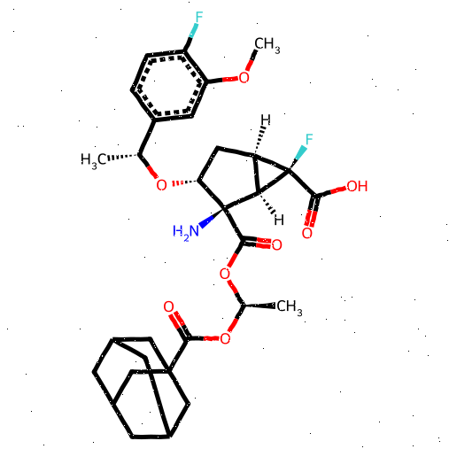 COc1cc([C@@H](C)O[C@@H]2C[C@@H]3[C@H]([C@]2(N)C(=O)O[C@@H](C)OC(=O)C24CC5CC(CC(C5)C2)C4)[C@@]3(F)C(=O)O)ccc1F